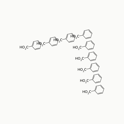 O=C(O)c1ccccc1.O=C(O)c1ccccc1.O=C(O)c1ccccc1.O=C(O)c1ccccc1.O=C(O)c1ccccc1.O=C(O)c1ccccc1.O=C(O)c1ccccc1.O=C(O)c1ccccc1.O=C(O)c1ccccc1